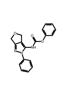 O=C(Nc1c2c(nn1-c1ccccc1)COC2)Oc1ccccc1